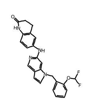 O=C1CCc2cc(Nc3cc4c(ccn4Cc4ccccc4OC(F)F)cn3)ccc2N1